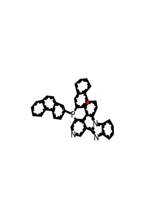 c1ccc2cc(P(c3ccc4c(ccc5ccccc54)c3)c3cncc4c3c3ccccc3n3c5ccccc5nc43)ccc2c1